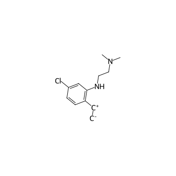 [CH2-][CH+]c1ccc(Cl)cc1NCCN(C)C